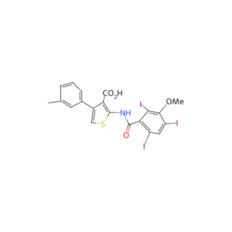 COc1c(I)cc(I)c(C(=O)Nc2scc(-c3cccc(C)c3)c2C(=O)O)c1I